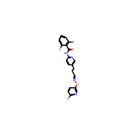 O=C(Nc1ccc(CC/C=N/Oc2ccc(F)nc2)cn1)c1c(F)cccc1F